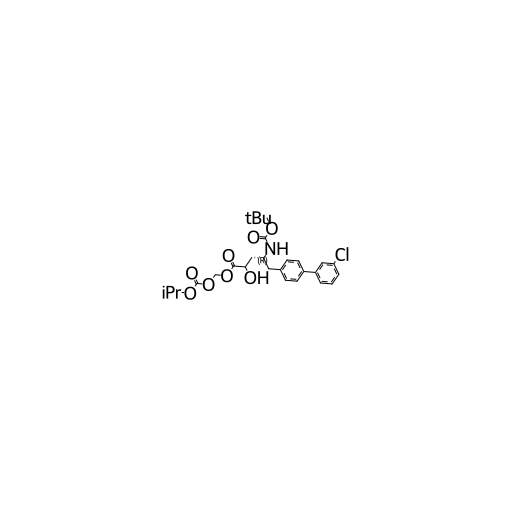 CC(C)OC(=O)OCOC(=O)C(O)C[C@@H](Cc1ccc(-c2cccc(Cl)c2)cc1)NC(=O)OC(C)(C)C